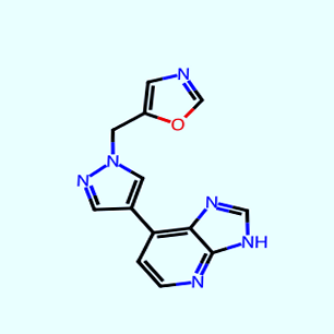 c1cc(-c2cnn(Cc3cnco3)c2)c2nc[nH]c2n1